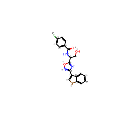 O=C(NC(CO)c1nc(-c2csc3ccccc23)no1)c1ccc(F)cc1